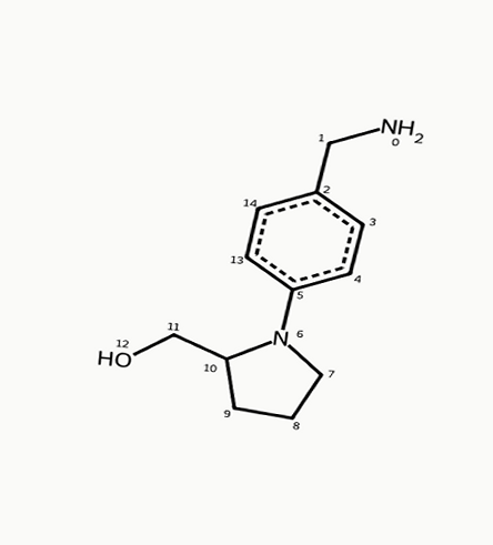 NCc1ccc(N2CCCC2CO)cc1